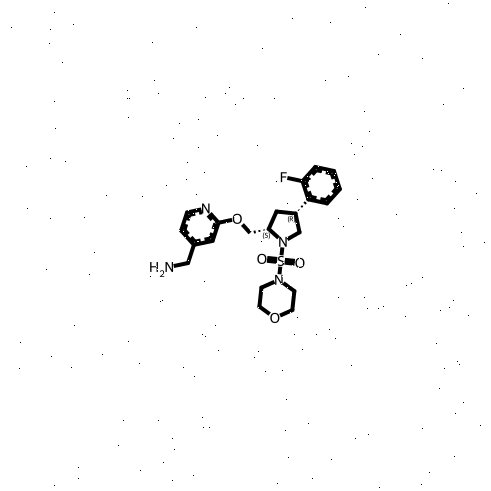 NCc1ccnc(OC[C@@H]2C[C@H](c3ccccc3F)CN2S(=O)(=O)N2CCOCC2)c1